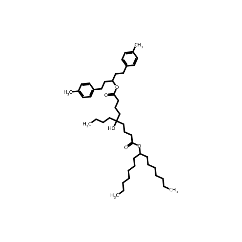 CCCCCCCC(CCCCCCC)OC(=O)CCCC(O)(CCCC)CCCC(=O)OC(CCc1ccc(C)cc1)CCc1ccc(C)cc1